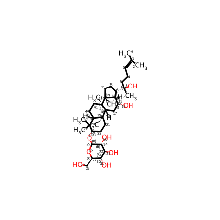 CC(C)=CCCC(C)(O)[C@H]1CC[C@]2(C)[C@@H]1[C@H](O)C[C@@H]1[C@@]3(C)CC[C@H](O[C@@H]4O[C@H](CO)[C@@H](O)[C@H](O)[C@H]4O)C(C)(C)[C@@H]3CC[C@]12C